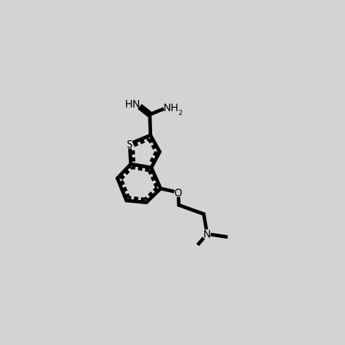 CN(C)CCOc1cccc2sc(C(=N)N)cc12